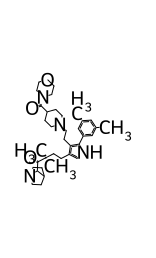 Cc1cc(C)cc(-c2[nH]cc(CCC(C)(C)C(=O)C3C4CCN3CC4)c2CCN2CCC(C(=O)N3CCOCC3)CC2)c1